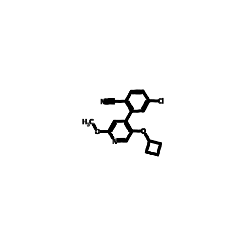 COc1cc(-c2cc(Cl)ccc2C#N)c(OC2CCC2)cn1